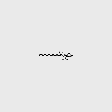 CCCCCCCCCCCC(=O)NCC(=O)OCC